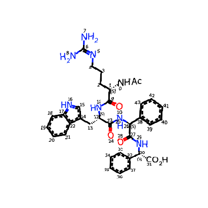 CC(=O)N[C@@H](CCCN=C(N)N)C(=O)N[C@@H](Cc1c[nH]c2ccccc12)C(=O)N[C@H](C(=O)N[C@H](C(=O)O)c1ccccc1)c1ccccc1